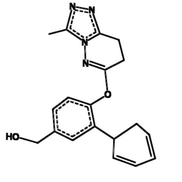 Cc1nnc2n1N=C(Oc1ccc(CO)cc1C1C=CC=CC1)CC2